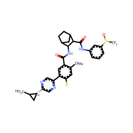 COc1cc(F)c(-c2cnc([C@@H]3CC3C(=O)O)cn2)cc1C(=O)NC1C2CCC(C2)C1C(=O)Nc1cccc([S+]([O-])C(F)(F)F)c1